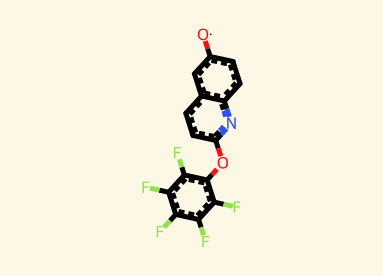 [O]c1ccc2nc(Oc3c(F)c(F)c(F)c(F)c3F)ccc2c1